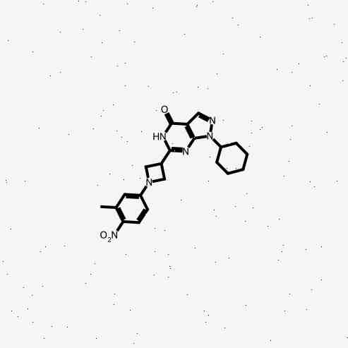 Cc1cc(N2CC(c3nc4c(cnn4C4CCCCC4)c(=O)[nH]3)C2)ccc1[N+](=O)[O-]